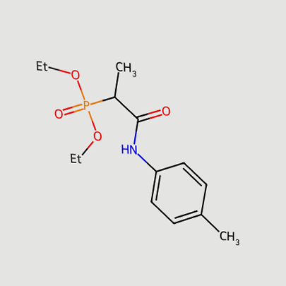 CCOP(=O)(OCC)C(C)C(=O)Nc1ccc(C)cc1